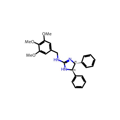 COc1cc(CNC2=N[C@H](c3ccccc3)[C@@H](c3ccccc3)N2)cc(OC)c1OC